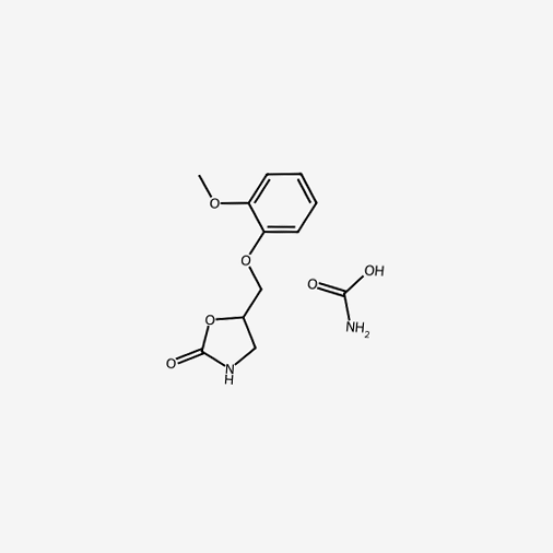 COc1ccccc1OCC1CNC(=O)O1.NC(=O)O